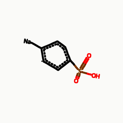 O=S(=O)(O)c1c[c][c]([Na])cc1